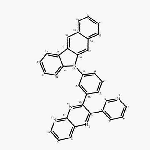 c1cncc(-c2nc3cccnc3nc2-c2cccc(-n3c4ccccc4c4cc5ccccc5cc43)c2)c1